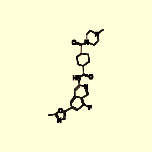 Cc1ncc(-c2cc(F)c3cnc(NC(=O)C4CCC(C(=O)N5CCN(C)CC5)CC4)cc3c2)o1